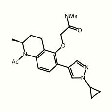 CNC(=O)COc1c(-c2cnn(C3CC3)c2)ccc2c1CC[C@H](C)N2C(C)=O